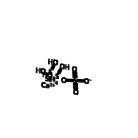 O=S(=O)(O)O.O=S(=O)(O)O.O=S(=O)([O-])[O-].[Ca+2].[SiH4]